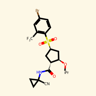 CC(C)O[C@@H]1C[C@H](S(=O)(=O)c2ccc(Br)cc2C(F)(F)F)C[C@H]1C(=O)NC1(C#N)CC1